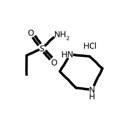 C1CNCCN1.CCS(N)(=O)=O.Cl